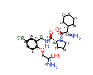 NC(O)COc1ccc(Cl)cc1CNC(=O)[C@H]1CCCN1C(=O)[C@@H](N)C1CCCCC1